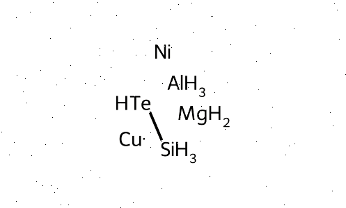 [AlH3].[Cu].[MgH2].[Ni].[SiH3][TeH]